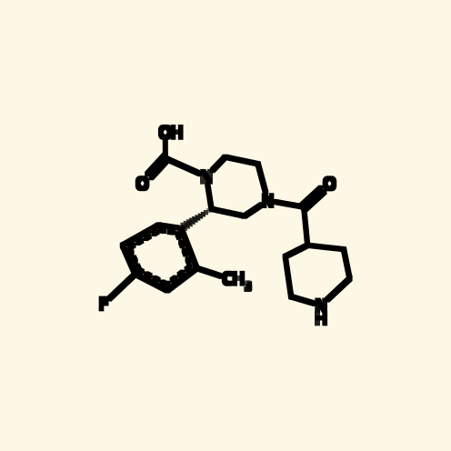 Cc1cc(F)ccc1[C@H]1CN(C(=O)C2CCNCC2)CCN1C(=O)O